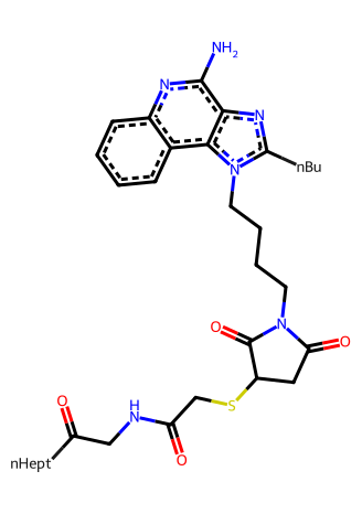 CCCCCCCC(=O)CNC(=O)CSC1CC(=O)N(CCCCn2c(CCCC)nc3c(N)nc4ccccc4c32)C1=O